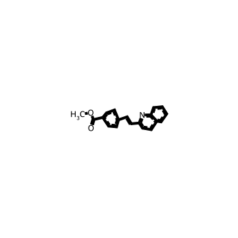 COC(=O)c1ccc(C=Cc2ccc3ccccc3n2)cc1